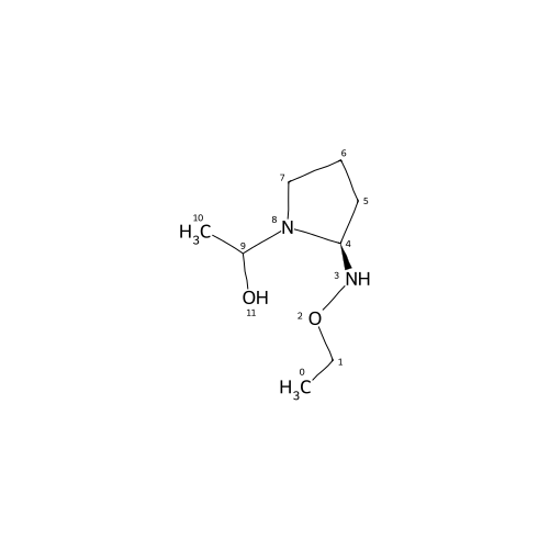 CCON[C@@H]1CCCN1C(C)O